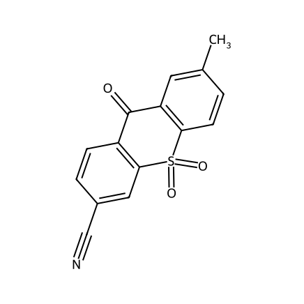 Cc1ccc2c(c1)C(=O)c1ccc(C#N)cc1S2(=O)=O